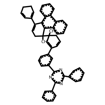 CC1(C2(C)CC=C(C3=CCCC=C3)c3c2c2ccccc2c2ccccc32)C=C(c2cccc(-c3nc(-c4ccccc4)nc(-c4ccccc4)n3)c2)C=CC1